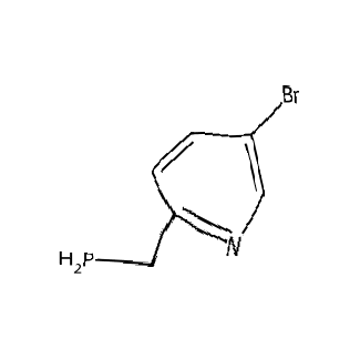 PCc1ccc(Br)cn1